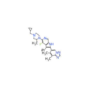 Cc1c(-c2[nH]c3cnc(N4CCN(CC5CC5)CC4C)c(F)c3c2C(C)C)cn2ncnc2c1C